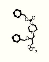 O=C(OCc1ccccc1)N1CCN(CC(COC(F)(F)F)OCc2ccccc2)CC1